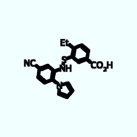 CCc1ccc(C(=O)O)cc1SNc1cc(C#N)ccc1-n1cccc1